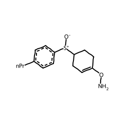 CCCc1ccc([S+]([O-])C2CC=C(ON)CC2)cc1